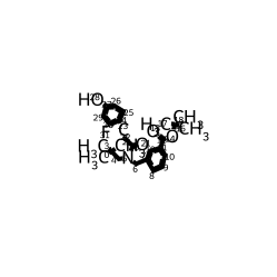 CC(C)(C)CN(Cc1cccc(C(=O)OC(C)(C)C)c1)C(=O)CCc1ccc(O)cc1F